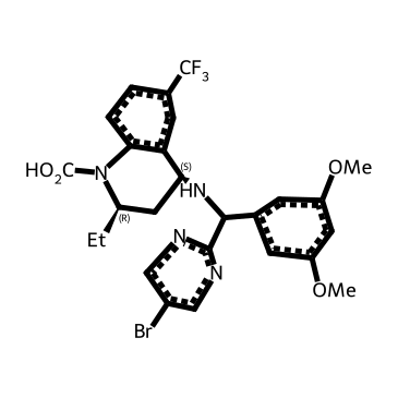 CC[C@@H]1C[C@H](NC(c2cc(OC)cc(OC)c2)c2ncc(Br)cn2)c2cc(C(F)(F)F)ccc2N1C(=O)O